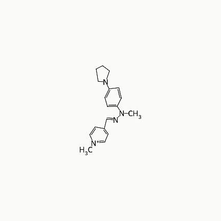 CN(/N=C/c1cc[n+](C)cc1)c1ccc(N2CCCC2)cc1